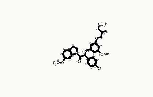 COc1cc(NC(C(=O)N2CCc3ccc(OC(F)(F)F)cc32)c2ccc(Cl)cc2)cc(OCC(C)CC(=O)O)c1